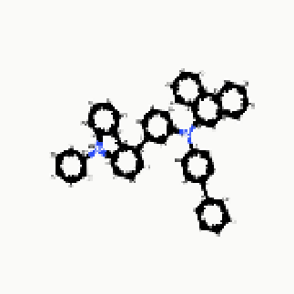 c1ccc(-c2ccc(N(c3cccc(-c4cccc5c4c4ccccc4n5-c4ccccc4)c3)c3cc4ccccc4c4ccccc34)cc2)cc1